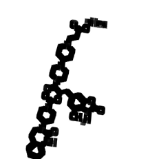 CCCCCCOC(=O)CCN1CCC(N2CCN(C(=O)[C@@H](Cc3cc(C)c4[nH]c(=O)oc4c3)OC(=O)N3CCC(N4CCc5ccccc5NC4=O)CC3)CC2)CC1